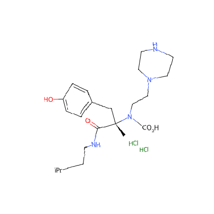 CC(C)CCNC(=O)[C@](C)(Cc1ccc(O)cc1)N(CCN1CCNCC1)C(=O)O.Cl.Cl